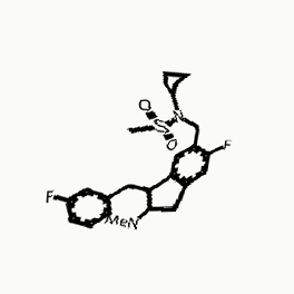 CNC1Cc2cc(F)c(CN(C3CC3)S(C)(=O)=O)cc2C1Cc1cccc(F)c1